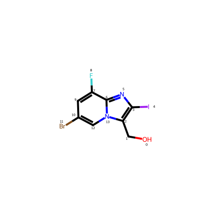 OCc1c(I)nc2c(F)cc(Br)cn12